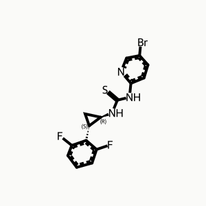 Fc1cccc(F)c1[C@@H]1C[C@H]1NC(=S)Nc1ccc(Br)cn1